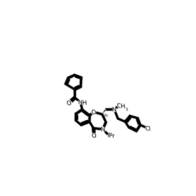 CC(C)N1C[C@@H](CN(C)Cc2ccc(Cl)cc2)Oc2c(NC(=O)c3ccccc3)cccc2C1=O